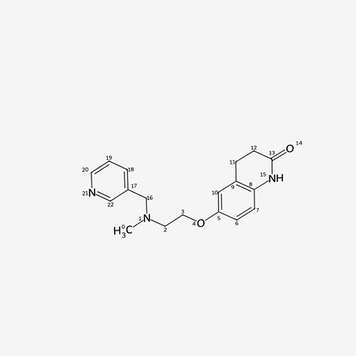 CN(CCOc1ccc2c(c1)CCC(=O)N2)Cc1cccnc1